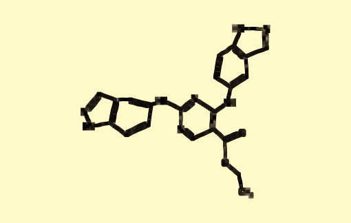 CCOC(=O)c1cnc(Nc2ccc3[nH]ncc3c2)nc1Nc1ccc2[nH]ncc2c1